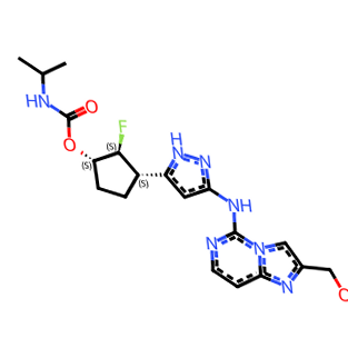 COCc1cn2c(Nc3cc([C@@H]4CC[C@H](OC(=O)NC(C)C)[C@H]4F)[nH]n3)nccc2n1